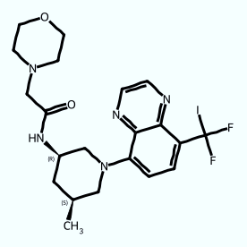 C[C@H]1C[C@@H](NC(=O)CN2CCOCC2)CN(c2ccc(C(F)(F)I)c3nccnc23)C1